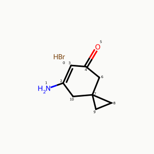 Br.NC1=CC(=O)CC2(CC2)C1